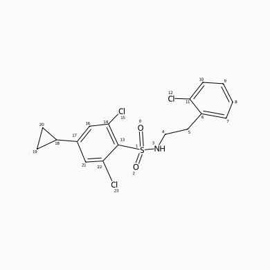 O=S(=O)(NCCc1ccccc1Cl)c1c(Cl)cc(C2CC2)cc1Cl